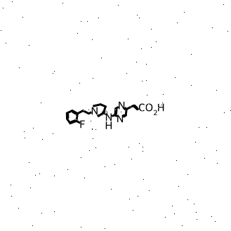 O=C(O)C=Cc1cnc(N[C@@H]2CCCN(CCc3ccccc3F)C2)cn1